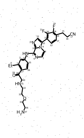 CCc1cc(Nc2nccn3c(-c4ccc(CCC#N)c(F)c4F)cnc23)ccc1C(=O)CNCCOCCN